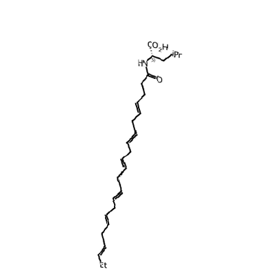 CCC=CCC=CCC=CCC=CCC=CCC=CCCC(=O)N[C@@H](CC(C)C)C(=O)O